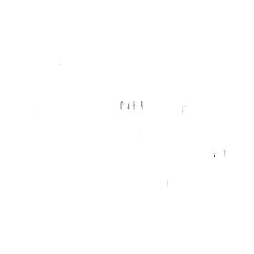 CCC(F)(F)CNC1CCCC1